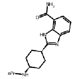 CCCN[C@H]1CC[C@@H](c2nc3cccc(C(N)=O)c3[nH]2)CC1